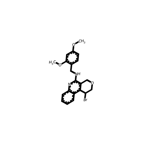 COc1ccc(CNc2nc3ccccc3c3c2COCC3Br)c(OC)c1